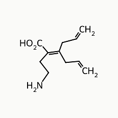 C=CCC(CC=C)=C(CCN)C(=O)O